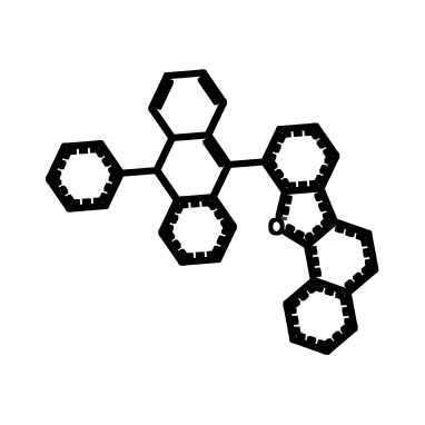 C1=CC2=C(c3cccc4c3oc3c5ccccc5ccc43)c3ccccc3C(c3ccccc3)C2C=C1